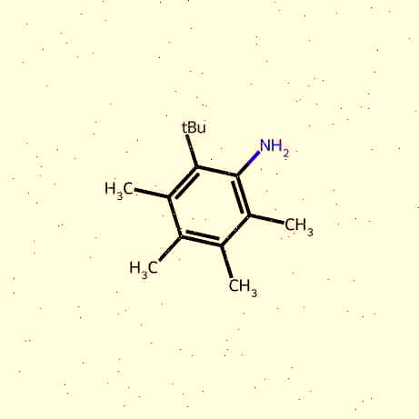 Cc1c(C)c(C)c(C(C)(C)C)c(N)c1C